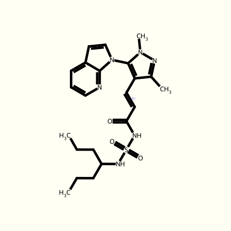 CCCC(CCC)NS(=O)(=O)NC(=O)/C=C/c1c(C)nn(C)c1-n1ccc2cccnc21